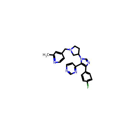 Cc1cc(CN2CCC(n3cnc(-c4ccc(F)cc4)c3-c3ccncn3)C2)ccn1